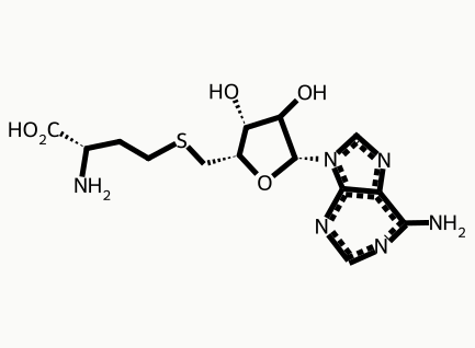 Nc1ncnc2c1ncn2[C@@H]1O[C@H](CSCC[C@H](N)C(=O)O)[C@H](O)C1O